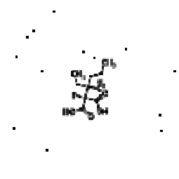 CCCC(C)(CC)C(F)(C(=O)O)C(=O)O